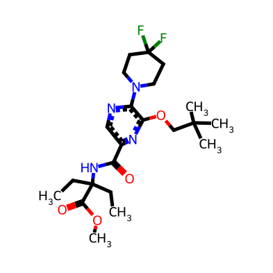 CCC(CC)(NC(=O)c1cnc(N2CCC(F)(F)CC2)c(OCC(C)(C)C)n1)C(=O)OC